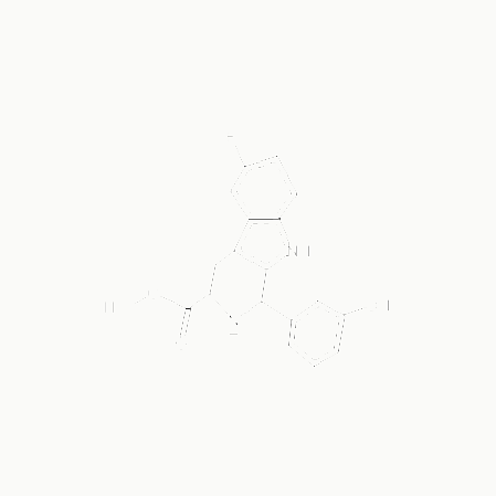 COC(=O)C1Cc2c([nH]c3ccc(F)cc23)C(c2cccc(O)c2)N1